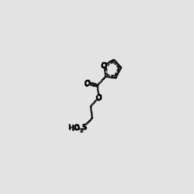 O=C(OCCS(=O)(=O)O)c1ccco1